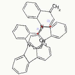 C=C(/C=C\C=C(/C)c1ccccc1-n1c2ccccc2c2ccccc21)c1ccccc1-n1c2ccccc2c2ccccc21